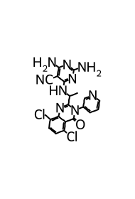 CC(Nc1nc(N)nc(N)c1C#N)c1nc2c(Cl)ccc(Cl)c2c(=O)n1-c1cccnc1